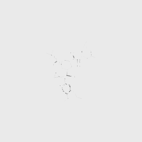 CCOC[C@@H](CC(C)C)NC(=O)[C@H]1C[C@@H](C(=O)N(c2cc(OCC)c(CC)cn2)C2CC2)CN(C(=O)OC(C)(C)C)C1